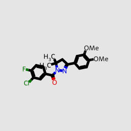 COc1ccc(C2=NN(C(=O)c3ccc(F)c(Cl)c3)C(C)(C)C2)cc1OC